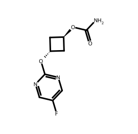 NC(=O)O[C@H]1C[C@H](Oc2ncc(F)cn2)C1